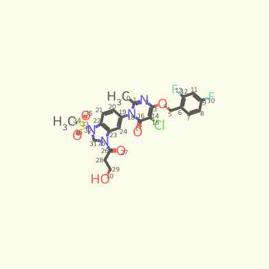 Cc1nc(OCc2ccc(F)cc2F)c(Cl)c(=O)n1-c1ccc2c(c1)N(C(=O)CCO)CN2S(C)(=O)=O